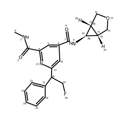 CNC(=O)c1cc(C(=O)N[C@H]2[C@@H]3COC[C@@H]32)cc(C(CF)c2ccccc2)n1